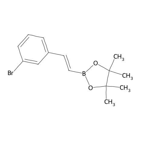 CC1(C)OB(C=Cc2cccc(Br)c2)OC1(C)C